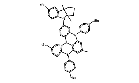 Cc1cc2c3c(c1)N(c1ccc(C(C)(C)C)cc1)c1cc(N4c5ccc(C(C)(C)C)cc5C5(C)CCCC45C)ccc1B3c1cc(C(C)(C)C)ccc1N2c1ccc(C(C)(C)C)cc1